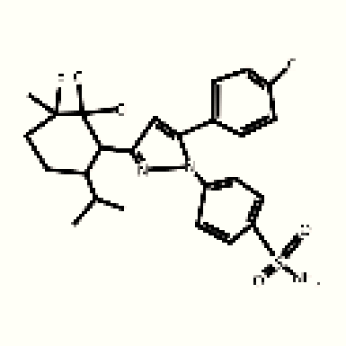 CC(C)C1CCC(C)(F)C(Cl)(Cl)C1c1cc(-c2ccc(Cl)cc2)n(-c2ccc(S(N)(=O)=O)cc2)n1